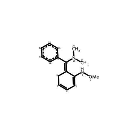 CONC1=CC=CCC1=C(c1ccccc1)N(C)C